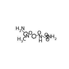 Cc1cc(CN)cc(Oc2cccc(C(=O)NCCS(N)(=O)=O)c2)n1